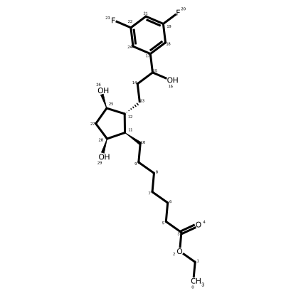 CCOC(=O)CCCCCC[C@@H]1[C@@H](CCC(O)c2cc(F)cc(F)c2)[C@H](O)C[C@@H]1O